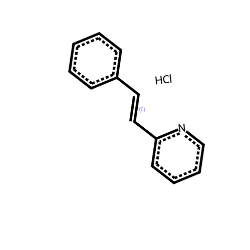 C(=C\c1ccccn1)/c1ccccc1.Cl